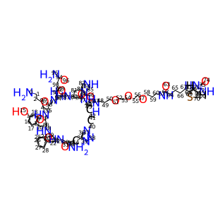 NCCCC[C@@H]1NC(=O)[C@H](Cc2ccc(O)cc2)NC(=O)[C@H](Cc2ccccc2)NC(=O)[C@@H](N)Cc2cn(nn2)CCCC[C@@H](C(=O)NCCCOCCOCCOCCCNC(=O)CCCCC2SC[C@H]3NC(=O)N[C@@H]23)NC(=O)[C@H](Cc2c[nH]cn2)NC(=O)[C@H](CCCC(N)=O)NC1=O